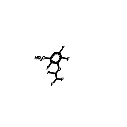 O=C(O)c1cc(F)c(F)c(OC(F)C(F)F)c1F